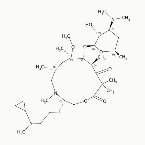 CO[C@]1(C)C[C@@H](C)CN(C)[C@@H](CCCN(C)C2CC2)COC(=O)C(C)(C)C(=O)[C@H](C)[C@H]1O[C@@H]1O[C@H](C)C[C@H](N(C)C)[C@H]1O